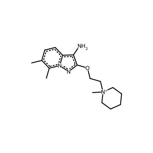 Cc1ccc2c(N)c(OCC[N+]3(C)CCCCC3)nn2c1C